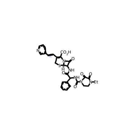 CCN1CCN(C(=O)NC(C(=O)NC2C(=O)N3C(C(=O)O)=C(/C=C/c4cccnc4)CS[C@H]23)c2ccccc2)C(=O)C1=O